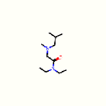 CCN(CC)C(=O)CN(C)CC(C)C